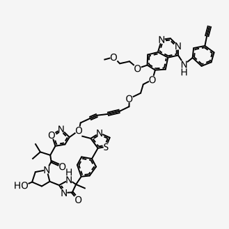 C#Cc1cccc(Nc2ncnc3cc(OCCOC)c(OCCOCC#CC#CCOc4cc(C(C(=O)N5CC(O)CC5C5=NC(=O)C(C)(c6ccc(-c7scnc7C)cc6)N5)C(C)C)on4)cc23)c1